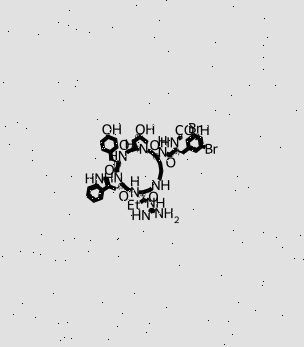 CCC(NC(=N)N)[C@@H]1NC(=O)[C@H](Cc2c[nH]c3ccccc23)NC(=O)[C@@H](CC2CCC(O)CC2)NC(=O)[C@@H]2C[C@@H](O)CN2C(=O)[C@@H](NC(=O)[C@H](Cc2cc(Br)cc(Br)c2)NCC(=O)O)CCCNC1=O